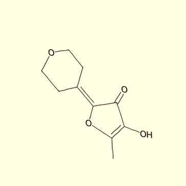 CC1=C(O)C(=O)C(=C2CCOCC2)O1